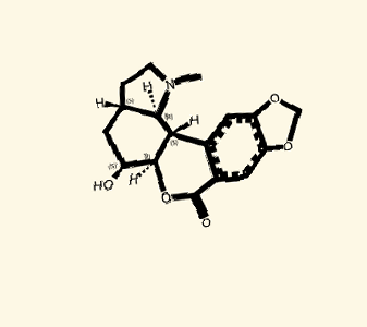 CN1CC[C@H]2C[C@H](O)[C@@H]3OC(=O)c4cc5c(cc4[C@H]3[C@@H]21)OCO5